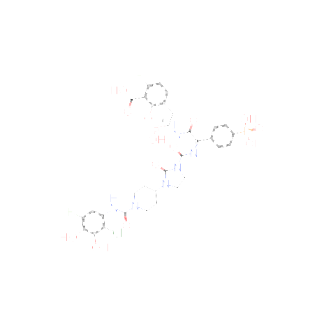 O=C(O)c1c(F)ccc2c1OB(O)[C@@H](NC(=O)[C@H](NC(=O)N1CCN(C3CCN(C(=O)Nc4cc(F)c(O)c(O)c4Cl)CC3)C1=O)c1ccc(P(=O)(O)O)cc1)C2